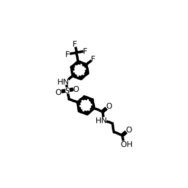 O=C(O)CCNC(=O)c1ccc(CS(=O)(=O)Nc2ccc(F)c(C(F)(F)F)c2)cc1